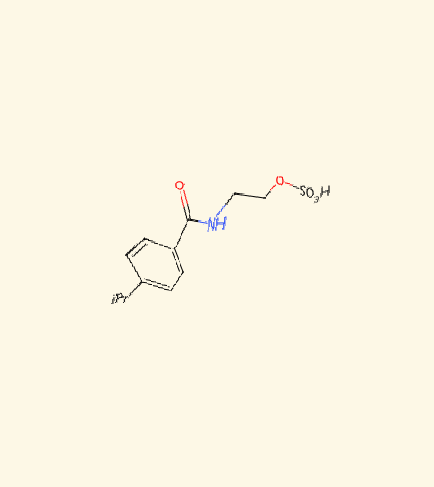 CC(C)c1ccc(C(=O)NCCOS(=O)(=O)O)cc1